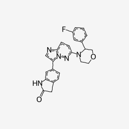 O=C1Cc2ccc(-c3cnc4ccc(N5CCOCC5c5cccc(F)c5)nn34)cc2N1